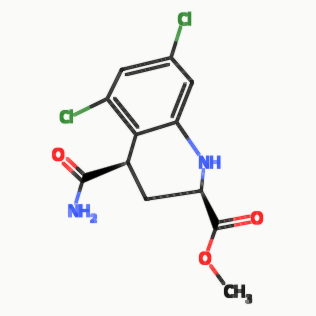 COC(=O)[C@H]1C[C@@H](C(N)=O)c2c(Cl)cc(Cl)cc2N1